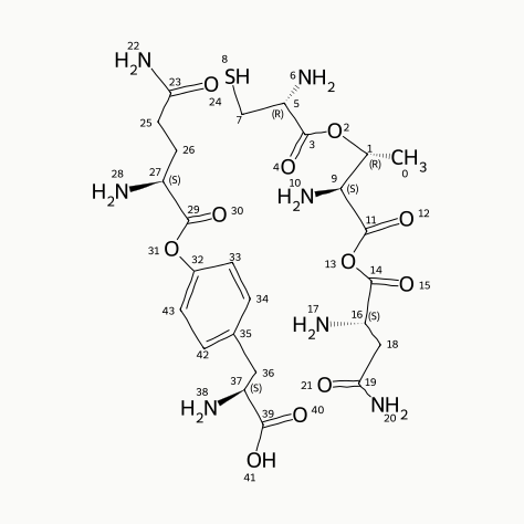 C[C@@H](OC(=O)[C@@H](N)CS)[C@H](N)C(=O)OC(=O)[C@@H](N)CC(N)=O.NC(=O)CC[C@H](N)C(=O)Oc1ccc(C[C@H](N)C(=O)O)cc1